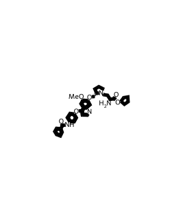 COc1cc2c(Oc3ccc(NC(=O)c4ccccc4)cc3)ccnc2cc1OC[C@@H]1CCCN1CC[C@H](N)C(=O)OC1CCCC1